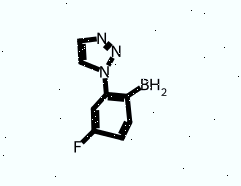 Bc1ccc(F)cc1-n1ccnn1